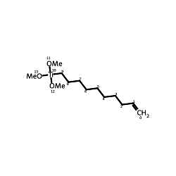 C=CCCCCCCC[CH2][Ti]([O]C)([O]C)[O]C